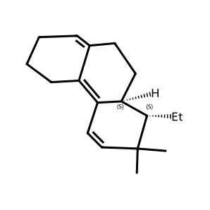 CC[C@H]1[C@@H]2CCC3=CCCCC3=C2C=CC1(C)C